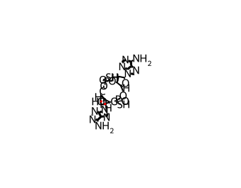 Nc1ncnc2c1ncn2[C@@H]1O[C@@H]2COP(=O)(S)O[C@H]3C[C@H](n4cnc5c(N)ncnc54)O[C@@H]3COP(=O)(S)O[C@@H]1[C@@H]2O